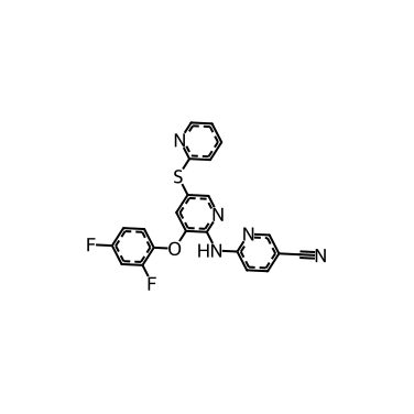 N#Cc1ccc(Nc2ncc(Sc3ccccn3)cc2Oc2ccc(F)cc2F)nc1